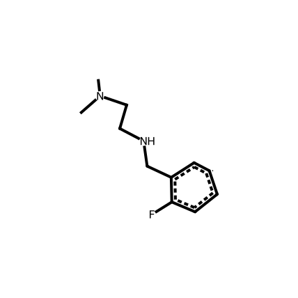 CN(C)CCNCc1c[c]ccc1F